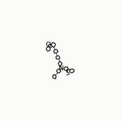 c1ccc(-c2ccc(N(c3ccc(-c4ccc(-c5ccc(-c6cccc7oc8ccccc8c67)cc5)cc4)cc3)c3ccc4c(c3)sc3ccccc34)cc2)cc1